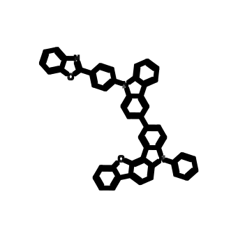 c1ccc(-n2c3ccc(-c4ccc5c(c4)c4ccccc4n5-c4ccc(-c5nc6ccccc6o5)cc4)cc3c3c4oc5ccccc5c4ccc32)cc1